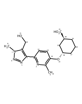 Cc1nc(-c2nnn(C)c2CO)ccc1O[C@H]1CCC[C@H](C(=O)O)C1